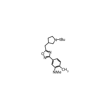 CNc1cc(-c2noc(CC3CCN(C(C)(C)C)C3)n2)ccc1C